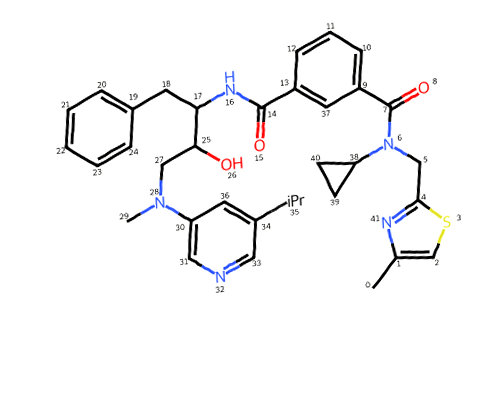 Cc1csc(CN(C(=O)c2cccc(C(=O)NC(Cc3ccccc3)C(O)CN(C)c3cncc(C(C)C)c3)c2)C2CC2)n1